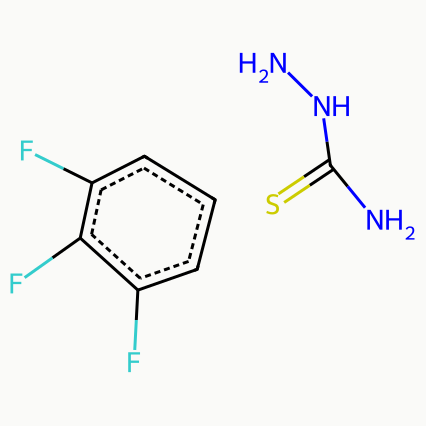 Fc1cccc(F)c1F.NNC(N)=S